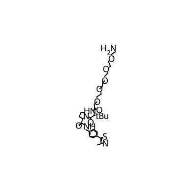 Cc1ncsc1-c1ccc(CNC(=O)C2CCCN2C(=O)C(NC(=O)COCCOCCOCCOCCOCCN)C(C)(C)C)cc1